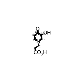 O=C(O)CCn1ccc(=O)c(O)c1